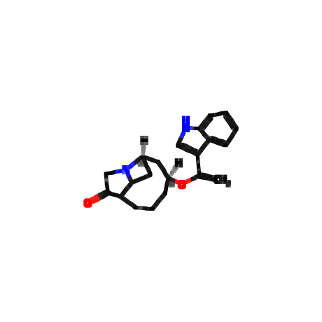 C=C(O[C@H]1CCCC2C(=O)CN3C2C[C@@H]3C1)c1c[nH]c2ccccc12